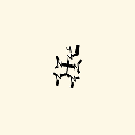 C=CNC(C(N(C)C)N(C)C)(N(C)C)N(C)C